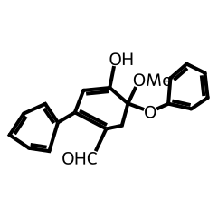 COC1(Oc2ccccc2)CC(C=O)=C(c2ccccc2)C=C1O